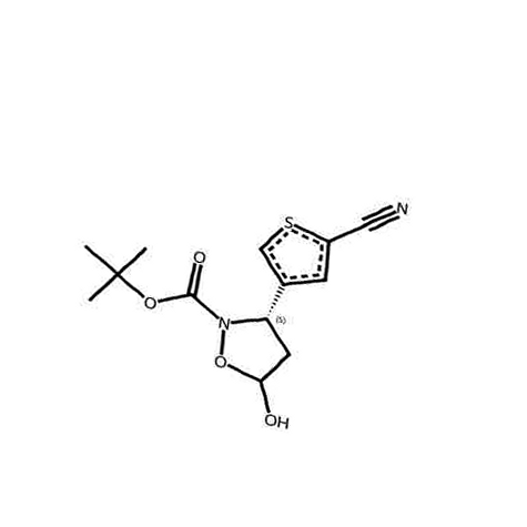 CC(C)(C)OC(=O)N1OC(O)C[C@H]1c1csc(C#N)c1